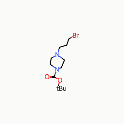 CC(C)(C)OC(=O)N1CCN(CCCBr)CC1